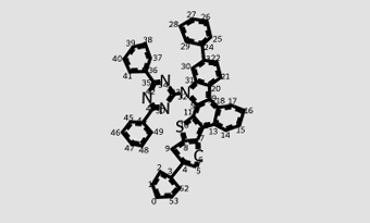 c1ccc(-c2ccc3c(c2)sc2c3c3ccccc3c3c4ccc(-c5ccccc5)cc4n(-c4nc(-c5ccccc5)nc(-c5ccccc5)n4)c23)cc1